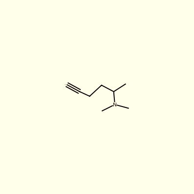 [C]#CCCC(C)N(C)C